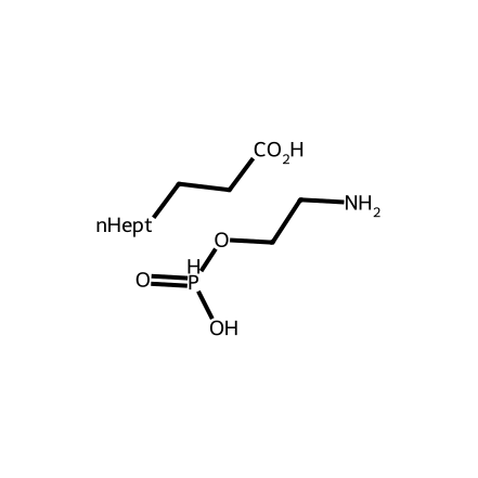 CCCCCCCCCC(=O)O.NCCO[PH](=O)O